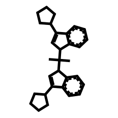 CC(C)(C1C=C(C2CCCC2)c2ccccc21)C1C=C(C2CCCC2)c2ccccc21